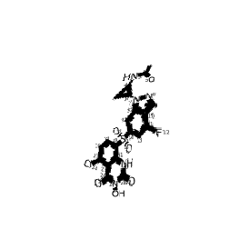 CC(=O)N[C@@H]1C[C@H]1n1ncc2c(F)cc(S(=O)(=O)c3ccc(Cl)c4c(=O)n(O)c(=O)[nH]c34)cc21